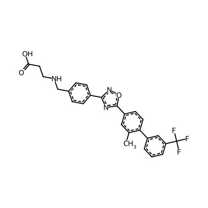 Cc1cc(-c2nc(-c3ccc(CNCCC(=O)O)cc3)no2)ccc1-c1cccc(C(F)(F)F)c1